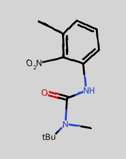 Cc1cccc(NC(=O)N(C)C(C)(C)C)c1[N+](=O)[O-]